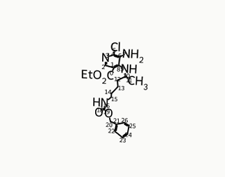 CCOC(=O)c1cnc(Cl)c(N)c1NC(C)CCCCNC(=O)OCc1ccccc1